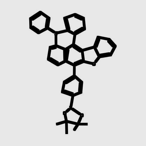 CC1(C)OB(c2ccc(-c3ccc(-c4ccccc4N(c4ccccc4)c4ccccc4)c4c3oc3ccccc34)cc2)OC1(C)C